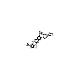 N#Cc1cc2cnc(Nc3cnn(C4CC4)c3Cl)nc2cc1[C@@H]1CCN(C2COC2)C[C@H]1F